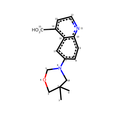 CC1(C)COCN(c2ccc3nccc(C(=O)O)c3c2)C1